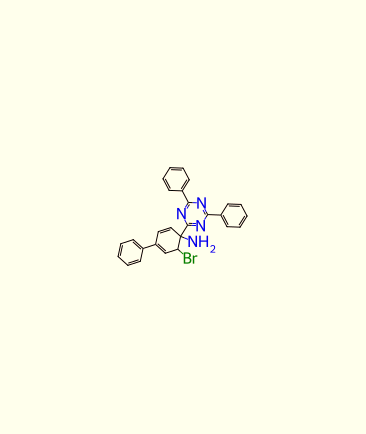 NC1(c2nc(-c3ccccc3)nc(-c3ccccc3)n2)C=CC(c2ccccc2)=CC1Br